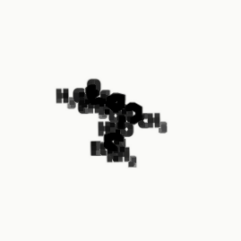 CCc1cc(NC(=O)C(=O)N2C[C@@H](C)CC[C@@H]2c2ccc3sc(CC4(N(C)C)COC4)nc3c2)cnc1N